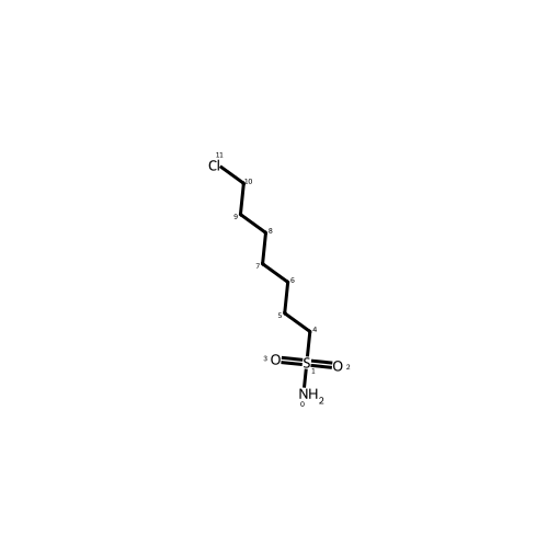 NS(=O)(=O)CCCCCCCCl